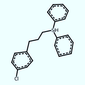 Clc1ccc(CCC[SiH](c2ccccc2)c2ccccc2)cc1